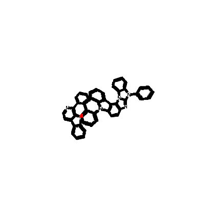 c1ccc(-n2c3ccccc3n3c4c(ccc5c4c4ccccc4n5-c4ccccc4-c4ccccc4-c4nccc5c4oc4ccccc45)nc23)cc1